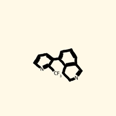 FC(F)(F)c1ncccc1-c1cccc2c1CCN=C2